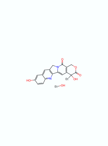 CCC1(O)C(=O)OCc2c1cc1n(c2=O)Cc2cc3cc(O)ccc3nc2-1.CCO